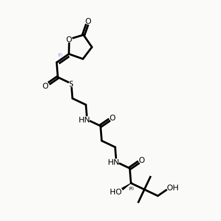 CC(C)(CO)[C@@H](O)C(=O)NCCC(=O)NCCSC(=O)/C=C1\CCC(=O)O1